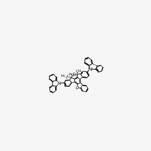 CC1(C)c2cc(-n3c4ccccc4c4ccccc43)ccc2-c2c1c1c(c3c2oc2ccccc23)-c2ccc(-n3c4ccccc4c4ccccc43)cc2C1(C)C